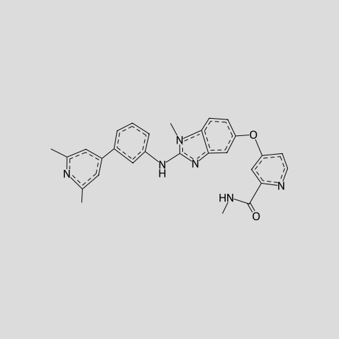 CNC(=O)c1cc(Oc2ccc3c(c2)nc(Nc2cccc(-c4cc(C)nc(C)c4)c2)n3C)ccn1